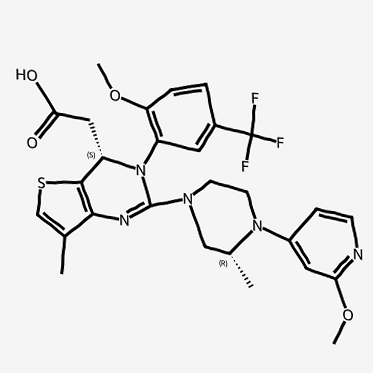 COc1cc(N2CCN(C3=Nc4c(C)csc4[C@H](CC(=O)O)N3c3cc(C(F)(F)F)ccc3OC)C[C@H]2C)ccn1